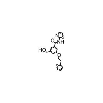 O=C(Nc1nccs1)c1cc(CO)cc(OCCc2cccs2)c1